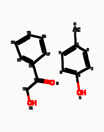 CC(=O)c1ccc(O)cc1.O=C(CO)c1ccccc1